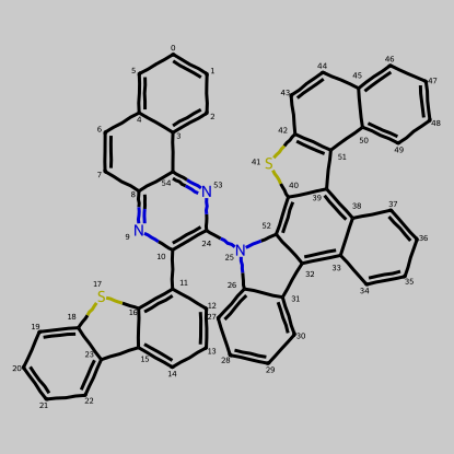 c1ccc2c(c1)ccc1nc(-c3cccc4c3sc3ccccc34)c(-n3c4ccccc4c4c5ccccc5c5c(sc6ccc7ccccc7c65)c43)nc12